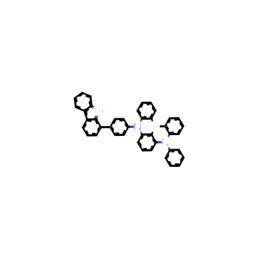 c1ccc(N2c3ccccc3B3c4ccccc4N(c4ccc(-c5cccc6c5oc5ccccc56)cc4)c4cccc2c43)cc1